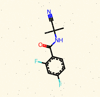 CC(C)(C#N)NC(=O)c1ccc(F)cc1F